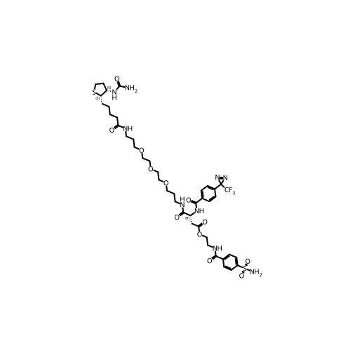 NC(=O)N[C@H]1CCS[C@H]1CCCCC(=O)NCCCOCCOCCOCCCNC(=O)[C@@H](CC(=O)OCCNC(=O)c1ccc(S(N)(=O)=O)cc1)NC(=O)c1ccc(C2(C(F)(F)F)N=N2)cc1